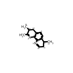 CC1=Nc2c(ccc3c2N=CCC3C)CC1C